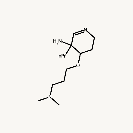 CCCC1(N)C=NCCC1OCCCN(C)C